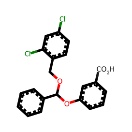 O=C(O)c1cccc(OC(OCc2ccc(Cl)cc2Cl)c2ccccc2)c1